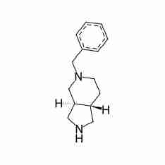 c1ccc(CN2CC[C@@H]3CNC[C@H]3C2)cc1